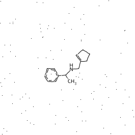 CC(NCC1=CCCC1)c1ccccc1